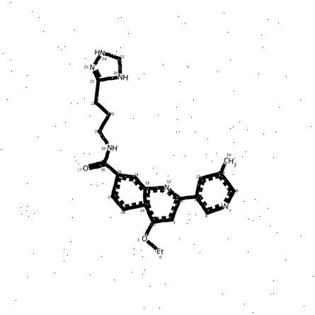 CCOc1cc(-c2cncc(C)c2)nc2cc(C(=O)NCCCC3=NNCN3)ccc12